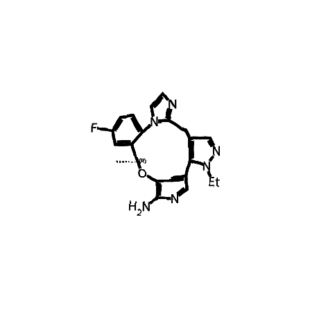 CCn1ncc2c1-c1cnc(N)c(c1)O[C@H](C)c1cc(F)ccc1-n1ccnc1C2